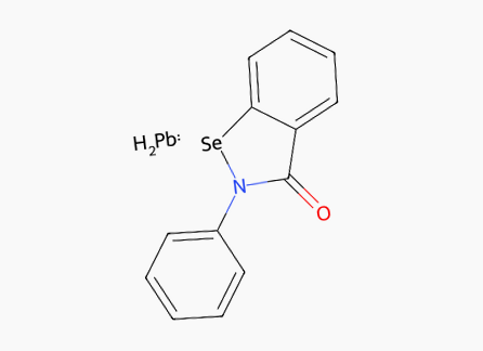 O=c1c2ccccc2[se]n1-c1ccccc1.[PbH2]